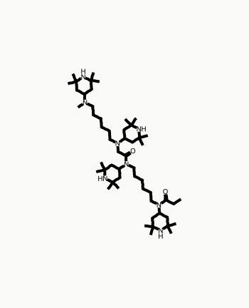 CCC(=O)N(CCCCCCN(C(=O)CN(CCCCCCN(C)C1CC(C)(C)NC(C)(C)C1)C1CC(C)(C)NC(C)(C)C1)C1CC(C)(C)NC(C)(C)C1)C1CC(C)(C)NC(C)(C)C1